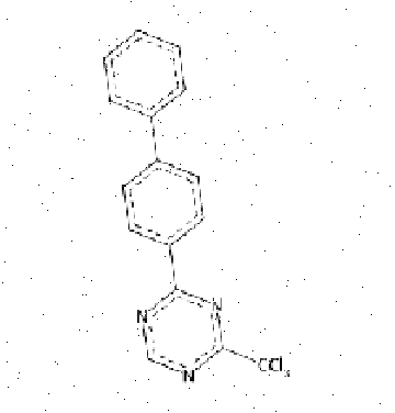 ClC(Cl)(Cl)c1ncnc(-c2ccc(-c3ccccc3)cc2)n1